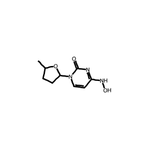 CC1CCC(n2ccc(NO)nc2=O)O1